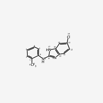 FC(F)(F)c1ccccc1Nc1nc2ccc(Cl)cc2[nH]1